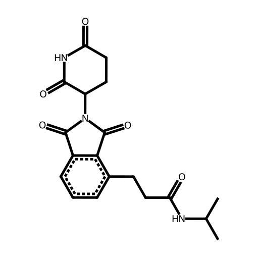 CC(C)NC(=O)CCc1cccc2c1C(=O)N(C1CCC(=O)NC1=O)C2=O